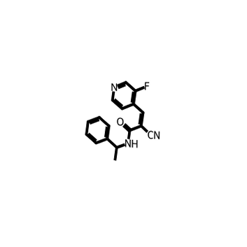 CC(NC(=O)C(C#N)=Cc1ccncc1F)c1ccccc1